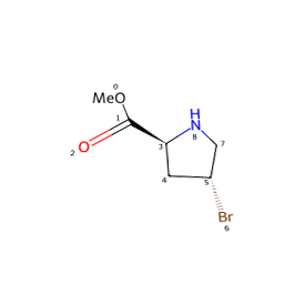 COC(=O)[C@@H]1C[C@@H](Br)CN1